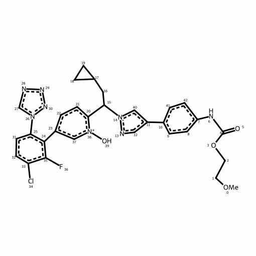 COCCOC(=O)Nc1ccc(-c2cnn(C(CC3CC3)c3ccc(-c4c(-n5cnnn5)ccc(Cl)c4F)c[n+]3O)c2)cc1